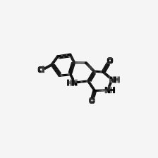 O=c1[nH][nH]c(=O)c2c1Cc1ccc(Cl)cc1N2